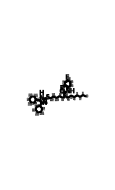 CCCCCCCN(CCCCCSc1nc(C2CCCCC2)c(C2CCCCC2)[nH]1)C(=O)Nc1ccc(F)cc1F